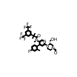 Cc1cc(F)ccc1-c1cc(N2CCN(C=O)C[C@H]2CO)ncc1N(C)C(=O)C(C)(C)c1cc(C(F)(F)F)cc(C(F)(F)F)c1